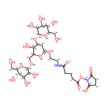 O=C(CCCC(=O)ON1C(=O)CCC1=O)NCCO[C@@H]1CC(O[C@H]2OC(CO)[C@@H](O)C(O)C2O)[C@H](O)C(CO[C@H]2OC(CO)[C@@H](O)C(O)C2O)O1